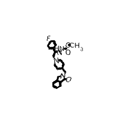 COC(=O)NN=C(CN1CCC(CN2Cc3ccccc3C2=O)CC1)c1ccc(F)cc1